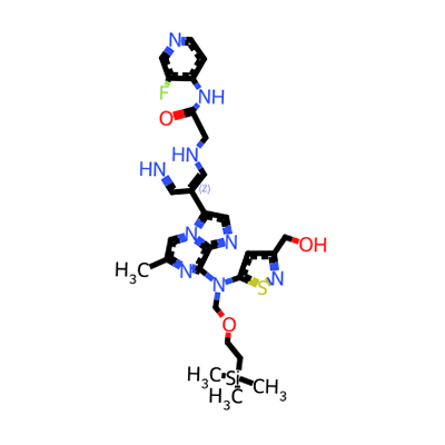 Cc1cn2c(/C(C=N)=C/NCC(=O)Nc3ccncc3F)cnc2c(N(COCC[Si](C)(C)C)c2cc(CO)ns2)n1